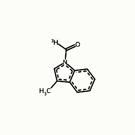 [3H]C(=O)n1cc(C)c2ccccc21